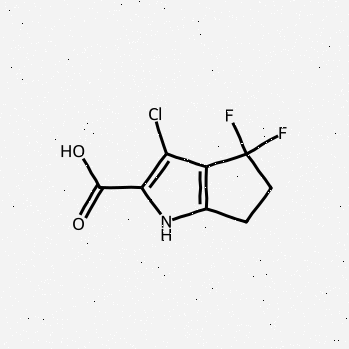 O=C(O)c1[nH]c2c(c1Cl)C(F)(F)CC2